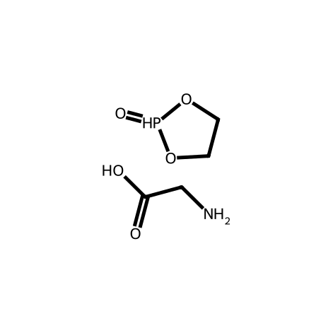 NCC(=O)O.O=[PH]1OCCO1